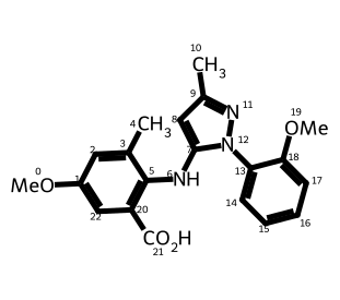 COc1cc(C)c(Nc2cc(C)nn2-c2ccccc2OC)c(C(=O)O)c1